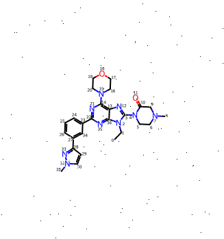 CCn1c(N2CCN(C)CC2=O)nc2c(N3CCOCC3)nc(-c3cccc(-c4ccn(C)n4)c3)nc21